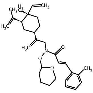 C=C[C@]1(C)CC[C@@H](C(=C)CN(OC2CCCCO2)C(=O)/C=C/c2ccccc2C)C[C@H]1C(=C)C